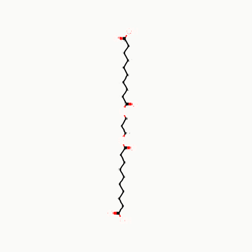 O=C(O)CCCCCCCCC(=O)OCCCOC(=O)CCCCCCCCC(=O)O